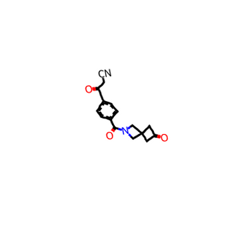 N#CCC(=O)c1ccc(C(=O)N2CC3(CC(=O)C3)C2)cc1